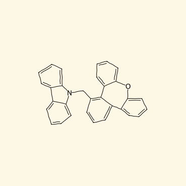 c1ccc2c(c1)Oc1ccccc1-c1c(Cn3c4ccccc4c4ccccc43)cccc1-2